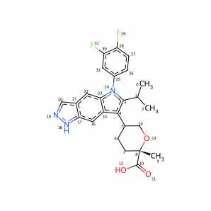 CC(C)c1c(C2CC[C@@](C)(C(=O)O)OC2)c2cc3[nH]ncc3cc2n1-c1ccc(F)c(F)c1